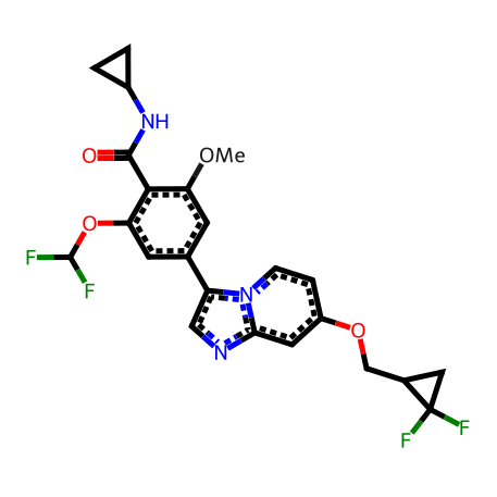 COc1cc(-c2cnc3cc(OCC4CC4(F)F)ccn23)cc(OC(F)F)c1C(=O)NC1CC1